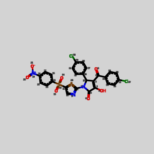 O=C(C1=C(O)C(=O)N(c2ncc(S(=O)(=O)c3ccc([N+](=O)[O-])cc3)s2)C1c1ccc(Cl)cc1)c1ccc(Cl)cc1